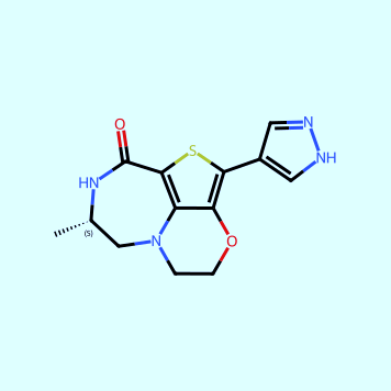 C[C@H]1CN2CCOc3c(-c4cn[nH]c4)sc(c32)C(=O)N1